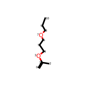 C=C(C)OCCCOCCC